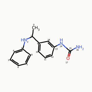 CC(Nc1ccccc1)c1cccc(NC(N)=O)c1